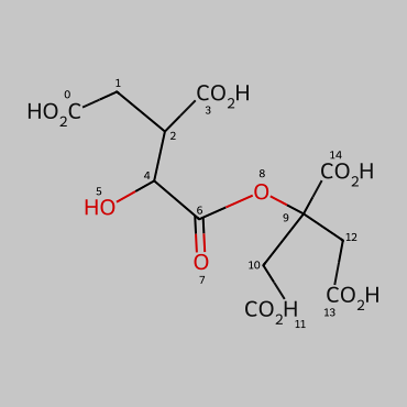 O=C(O)CC(C(=O)O)C(O)C(=O)OC(CC(=O)O)(CC(=O)O)C(=O)O